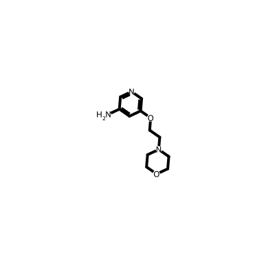 Nc1cncc(OCCN2CCOCC2)c1